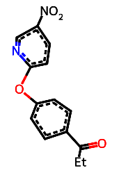 CCC(=O)c1ccc(Oc2ccc([N+](=O)[O-])cn2)cc1